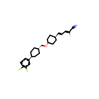 N#CC(F)=CC=C[C@H]1CC[C@H](OC[C@H]2CC[C@H](c3ccc(F)c(F)c3)CC2)CC1